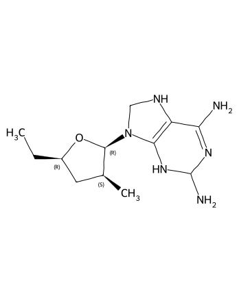 CC[C@@H]1C[C@H](C)[C@H](N2CNC3=C2NC(N)N=C3N)O1